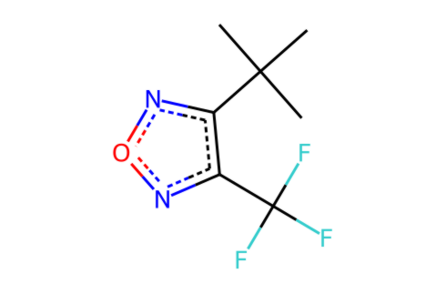 CC(C)(C)c1nonc1C(F)(F)F